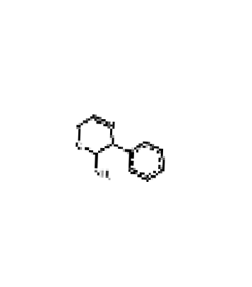 NC1OCC=NC1c1ccccc1